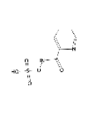 O=C(NOS(=O)(=O)O)c1ccccn1